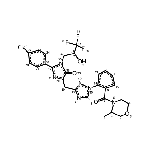 CC1COCCN1C(=O)c1ccccc1-n1cnc(Cn2nc(-c3ccc(Cl)cc3)n(C[C@H](O)C(F)(F)F)c2=O)n1